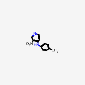 [CH2]c1ccc(Nc2ccncc2[N+](=O)[O-])cc1